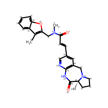 Cc1c(CN(C)C(=O)/C=C/c2cnc3c(c2)CN2CCC[C@H]2C(=O)N3)oc2ccccc12